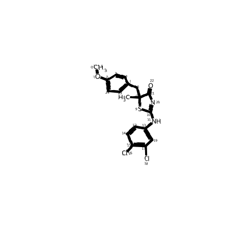 COc1ccc(CC2(C)SC(Nc3ccc(Cl)c(Cl)c3)=NC2=O)cc1